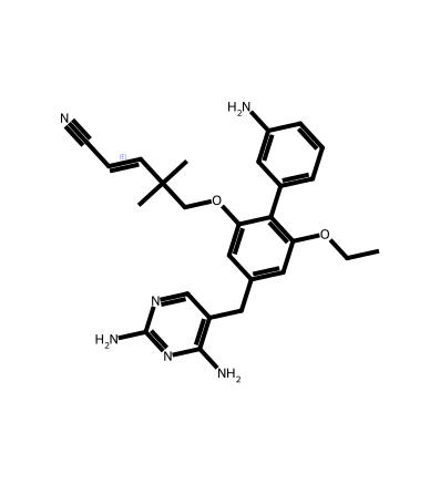 CCOc1cc(Cc2cnc(N)nc2N)cc(OCC(C)(C)/C=C/C#N)c1-c1cccc(N)c1